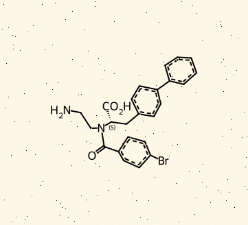 NCCN(C(=O)c1ccc(Br)cc1)[C@@H](Cc1ccc(-c2ccccc2)cc1)C(=O)O